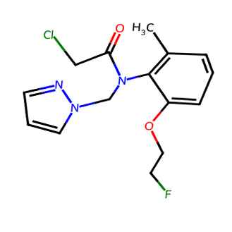 Cc1cccc(OCCF)c1N(Cn1cccn1)C(=O)CCl